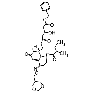 CCC(C)C(=O)OC1CCC(=NOCC2COCOC2)C2=CC(=O)C(C)C(CCC(=O)CC(O)CC(=O)OCc3ccccc3)C21